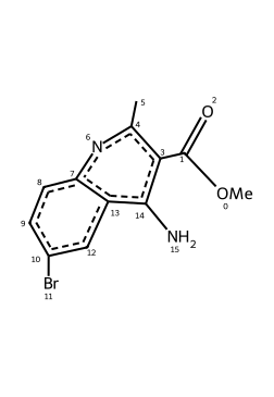 COC(=O)c1c(C)nc2ccc(Br)cc2c1N